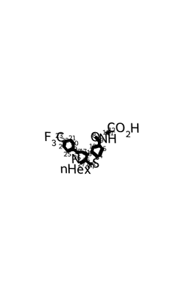 CCCCCC[C@@H](Sc1ccc(C(=O)NCCC(=O)O)cc1)c1ccc(-c2ccc(C(F)(F)F)cc2)nc1